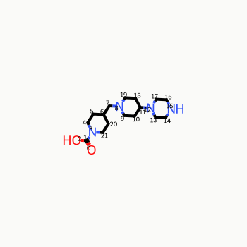 O=C(O)N1CCC(CN2CCC(N3CCNCC3)CC2)CC1